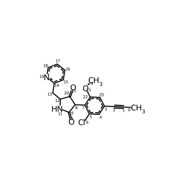 CC#Cc1cc(Cl)c(C2C(=O)NC(Cc3ccccn3)C2=O)c(OC)c1